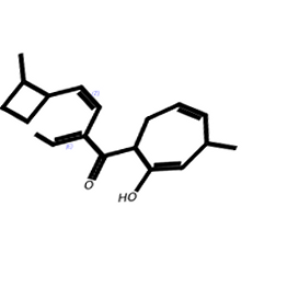 C/C=C(\C=C/C1CCC1C)C(=O)C1CC=CC(C)C=C1O